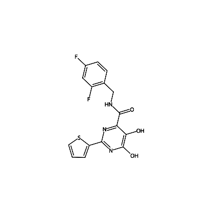 O=C(NCc1ccc(F)cc1F)c1nc(-c2cccs2)nc(O)c1O